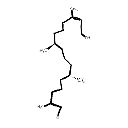 CC(=CCO)CCC[C@H](C)CCC[C@H](C)CCCC(C)CCl